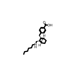 CCCCCCNC[C@H]1[C@@H](Cc2ccc(C(=O)O)cc2)[C@H]2CC[C@@H]1O2